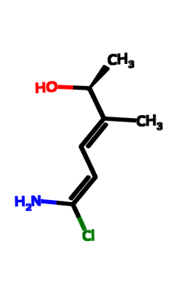 C/C(=C\C=C(/N)Cl)[C@H](C)O